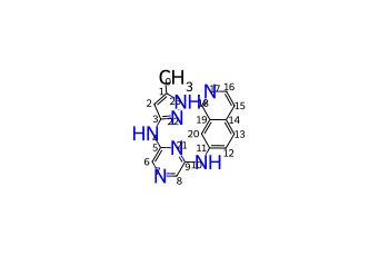 Cc1cc(Nc2cncc(Nc3ccc4ccncc4c3)n2)n[nH]1